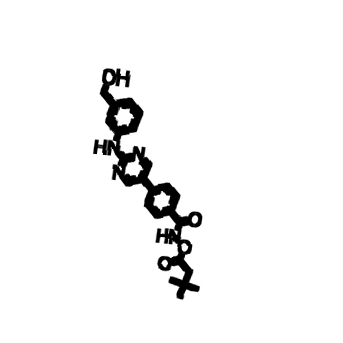 CC(C)(C)CC(=O)ONC(=O)c1ccc(-c2cnc(Nc3cccc(CO)c3)nc2)cc1